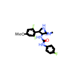 C/N=C1\NCC(c2c(F)cc(OC)cc2F)C1NC(=O)Nc1ccc(F)cc1